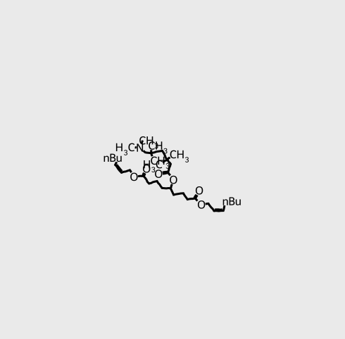 CCCC/C=C\COC(=O)CCCC(CCCC(=O)OC/C=C\CCCC)OC(=O)CC(C)(C)CC(C)(C)CN(C)C